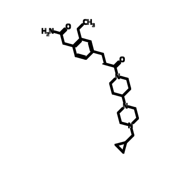 CCc1cc(C[CH]C(=O)N2CCC(N3CCN(CC4CC4)CC3)CC2)ccc1CC(N)=O